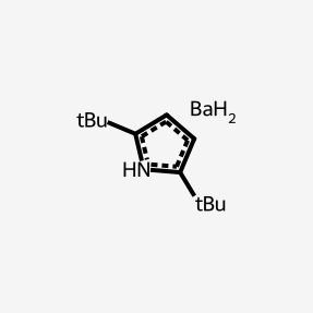 CC(C)(C)c1ccc(C(C)(C)C)[nH]1.[BaH2]